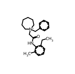 CCc1cccc(C)c1NC(=O)C[N+]1(Cc2ccccc2)CCCCCC1